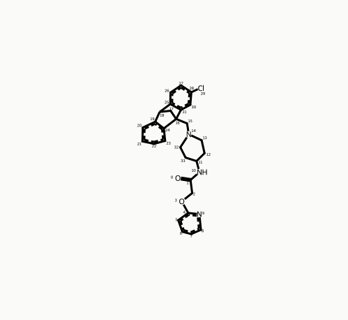 O=C(COc1ccccn1)NC1CCN(CC23CC(c4ccccc42)c2ccc(Cl)cc23)CC1